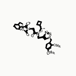 COc1ccc(Cn2cc(CN(C(=O)CN3C(=O)N[C@]4(CCc5ccccc54)C3=O)[C@@H](C)C3CCC3)nn2)c(OC)c1